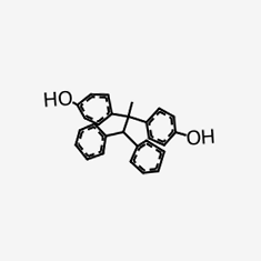 CC(c1ccc(O)cc1)(c1ccc(O)cc1)C(c1ccccc1)c1ccccc1